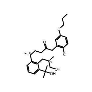 CCCOc1ccc(Cl)c(CC(=O)CC[C@@H](C)c2cccc(C(C)(C)O)c2C[C@@H](C)CO)c1